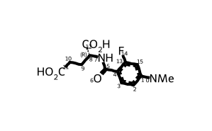 CNc1ccc(C(=O)N[C@H](CCC(=O)O)C(=O)O)c(F)c1